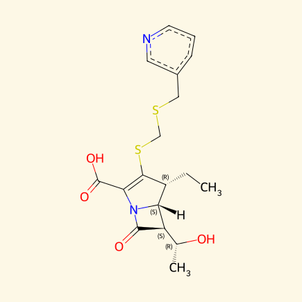 CC[C@H]1C(SCSCc2cccnc2)=C(C(=O)O)N2C(=O)[C@H]([C@@H](C)O)[C@@H]12